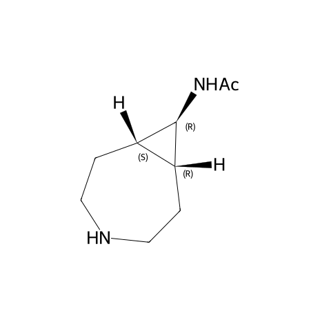 CC(=O)N[C@H]1[C@@H]2CCNCC[C@@H]21